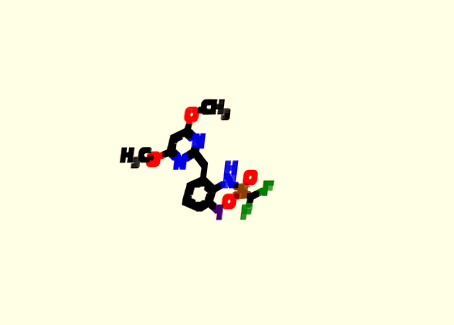 COc1cc(OC)nc(Cc2cccc(I)c2NS(=O)(=O)C(F)F)n1